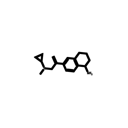 C=C(CN(C)C1CC1)c1ccc2c(c1)CCCC2N